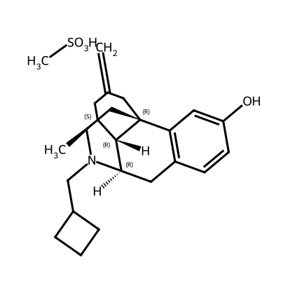 C=C1C[C@H](C)[C@H]2[C@H]3Cc4ccc(O)cc4[C@@]2(CCN3CC2CCC2)C1.CS(=O)(=O)O